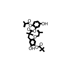 C=C(C)COc1cc(OC(=O)C(C)(C)C)c(O)cc1CC(C)(C)C(=O)Oc1cc(O)ccc1OC(=O)C(=C)C